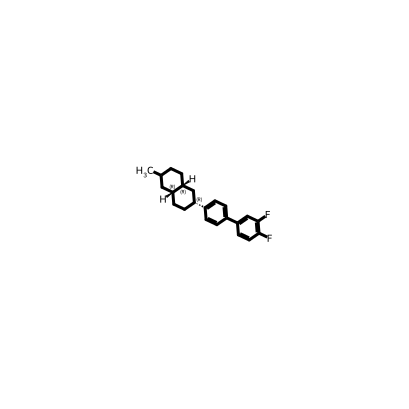 CC1CC[C@@H]2C[C@H](c3ccc(-c4ccc(F)c(F)c4)cc3)CC[C@@H]2C1